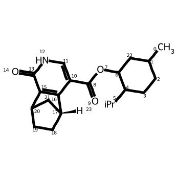 CC1CCC(C(C)C)C(OC(=O)c2c[nH]c(=O)c3c2[C@@H]2CCC3C2)C1